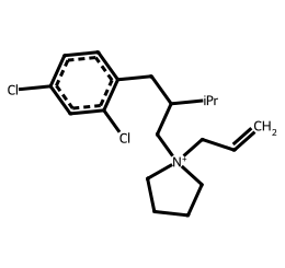 C=CC[N+]1(CC(Cc2ccc(Cl)cc2Cl)C(C)C)CCCC1